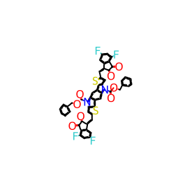 O=C1C(=O)c2c(F)cc(F)cc2/C1=C/c1cc2c(s1)c1cc3c(cc1n2C(=O)OCc1ccccc1)c1sc(/C=C2\C(=O)C(=O)c4c(F)cc(F)cc42)cc1n3C(=O)OCc1ccccc1